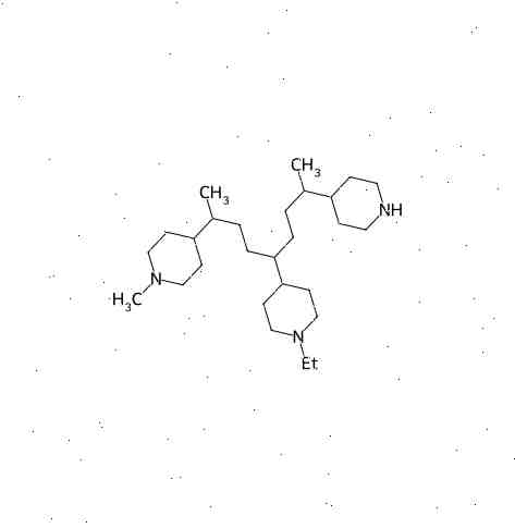 CCN1CCC(C(CCC(C)C2CCNCC2)CCC(C)C2CCN(C)CC2)CC1